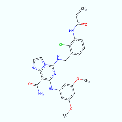 C=CC(=O)Nc1cccc(CNc2nc(Nc3cc(OC)cc(OC)c3)c(C(N)=O)c3nccn23)c1Cl